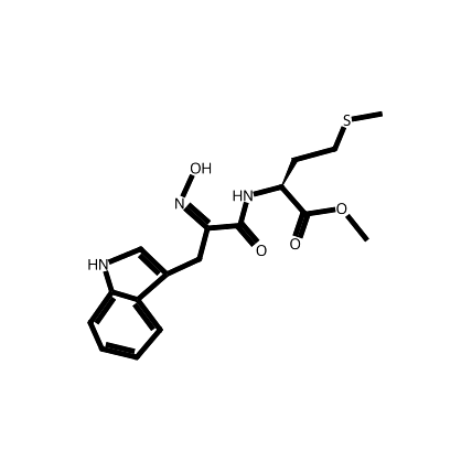 COC(=O)[C@H](CCSC)NC(=O)C(Cc1c[nH]c2ccccc12)=NO